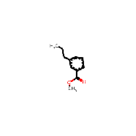 CCCc1cccc(C(=O)OC)c1